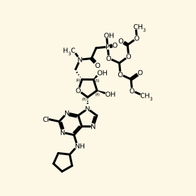 COC(=O)OC(OC(=O)OC)OP(=O)(O)CC(=O)N(C)C[C@H]1O[C@@H](n2cnc3c(NC4CCCC4)nc(Cl)nc32)[C@H](O)[C@@H]1O